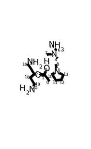 CC(=O)O.CN(C)C.CN1CCCC1.N.NCCCCN